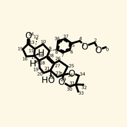 COCOCc1ccc([C@H]2C[C@]3(C)C(=O)CC[C@H]3[C@@H]3CC[C@@]4(O)CC5(CCC4=C32)OCC(C)(C)CO5)cc1